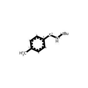 Cc1ccc(SNC(C)(C)C)cc1